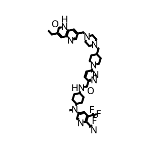 CCc1cc2ncc(CN3CCN(CC4CCN(c5ccc(C(=O)NC6CCC(N(C)c7cnc(C#N)c(C(F)(F)F)c7)CC6)nn5)CC4)CC3)cc2[nH]c1=O